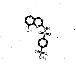 CS(=O)(=O)c1ccc(S(=O)(=O)Nc2ccc3cccc(O)c3n2)cc1